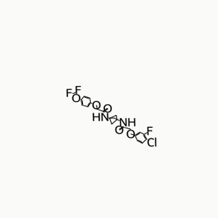 O=C(COc1ccc(OC(F)F)cc1)NC12CC(NC(=O)COc3ccc(Cl)c(F)c3)(C1)C2